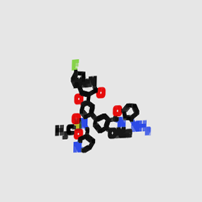 CNC(=O)c1c(-c2ccc(F)cc2)oc2cc(N(Cc3cccnc3)S(C)(=O)=O)c(-c3ccc(OC)c(-c4nc5c(N)cccc5o4)c3)cc12